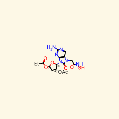 CCC(=O)O[C@H]1C[C@@H](OC(C)=O)[C@H](n2c(=O)n(CC(=O)NO)c3cnc(N)nc32)O1